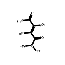 CCCC(C(N)=O)=C(CCC)C(=O)N(CCC)CCC